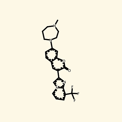 CN1CCCN(c2ccc3cc(-c4cn5cccc(C(F)(F)F)c5n4)c(=O)oc3c2)CC1